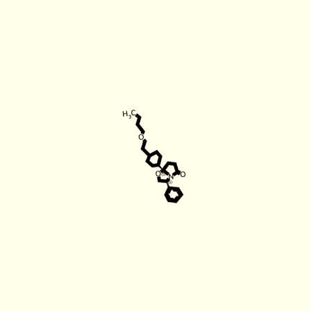 CCCCOCCC1CCC([C@@]23CCC(=O)N2[C@@H](c2ccccc2)CO3)CC1